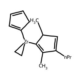 CCCC1=CC(C)[C]([Zr]2([C]3=CC=CC3)[CH2][CH2]2)=C1C